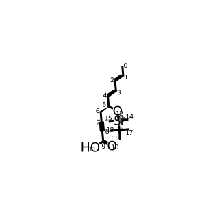 C/C=C/C=C/[C@H](CC#CC(=O)O)O[Si](C)(C)C(C)(C)C